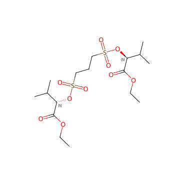 CCOC(=O)[C@@H](OS(=O)(=O)CCCS(=O)(=O)O[C@H](C(=O)OCC)C(C)C)C(C)C